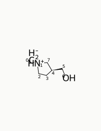 [CH2-][NH+]1CC[C@H](CO)C1